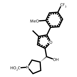 COc1cc(C(F)(F)F)ccc1-c1oc(C(O)[C@@H]2CCN(C(=O)O)C2)cc1C